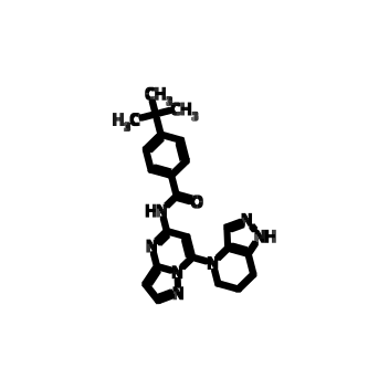 CC(C)(C)c1ccc(C(=O)Nc2cc(N3CCCc4[nH]ncc43)n3nccc3n2)cc1